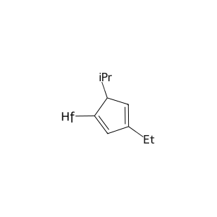 CCC1=CC(C(C)C)[C]([Hf])=C1